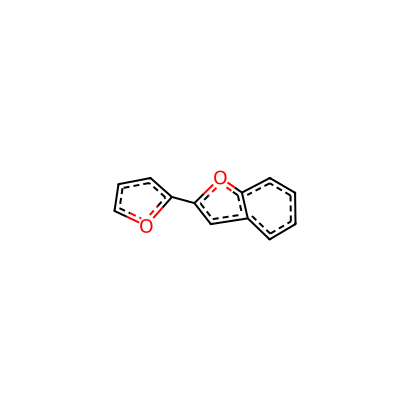 c1coc(-c2cc3ccccc3o2)c1